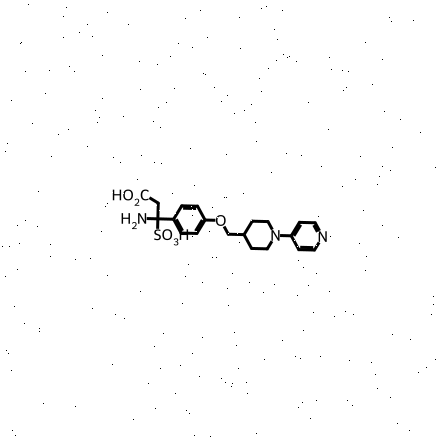 NC(CC(=O)O)(c1ccc(OCC2CCN(c3ccncc3)CC2)cc1)S(=O)(=O)O